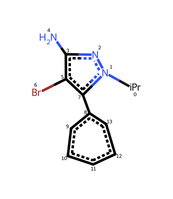 CC(C)n1nc(N)c(Br)c1-c1ccccc1